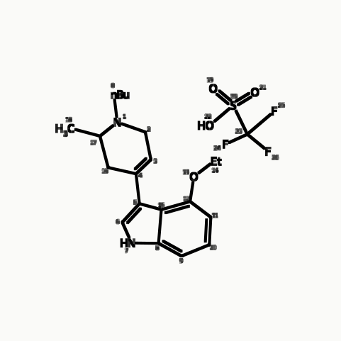 CCCCN1CC=C(c2c[nH]c3cccc(OCC)c23)CC1C.O=S(=O)(O)C(F)(F)F